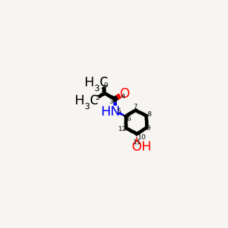 CC(C)C(=O)N[C@H]1CCC[C@H](O)C1